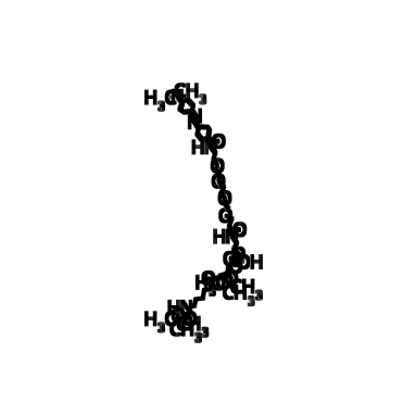 CN(C)c1ccc(/N=N/c2ccc(C(=O)NCCOCCOCCOCCOCCC(=O)NCCOP(=O)(O)OCC(COC(=O)CCCCCNC(=O)OC(C)(C)C)OC(C)(C)C)cc2)cc1